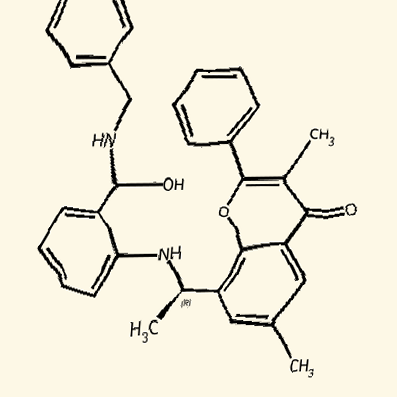 Cc1cc([C@@H](C)Nc2ccccc2C(O)NCc2ccccc2)c2oc(-c3ccccc3)c(C)c(=O)c2c1